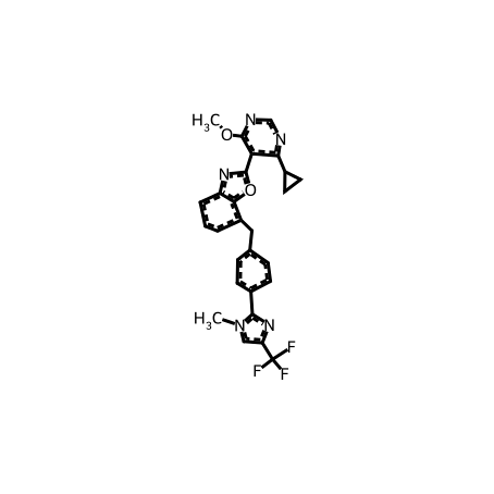 COc1ncnc(C2CC2)c1-c1nc2cccc(Cc3ccc(-c4nc(C(F)(F)F)cn4C)cc3)c2o1